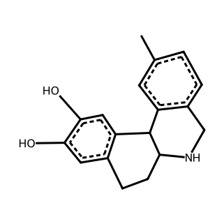 Cc1ccc2c(c1)C1c3cc(O)c(O)cc3CCC1NC2